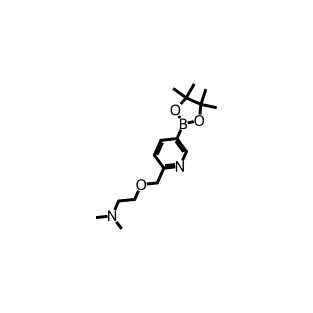 CN(C)CCOCc1ccc(B2OC(C)(C)C(C)(C)O2)cn1